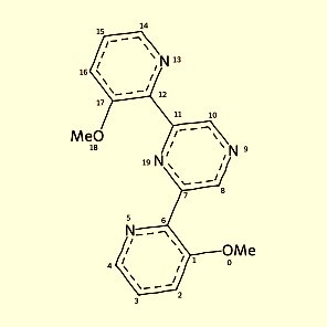 COc1cccnc1-c1cncc(-c2ncccc2OC)n1